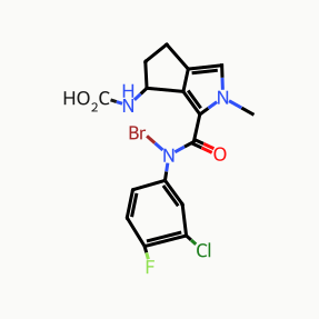 Cn1cc2c(c1C(=O)N(Br)c1ccc(F)c(Cl)c1)C(NC(=O)O)CC2